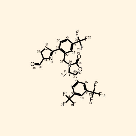 C[C@H]1[C@@H](c2cc(C(F)(F)F)cc(C(F)(F)F)c2)OC(=O)N1Cc1cc(C(F)(F)F)ccc1C1=NC(C=O)CS1